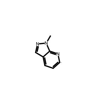 Cn1ncc2cc[c]nc21